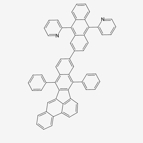 c1ccc(-c2c3c(c(-c4ccccc4)c4cc(-c5ccc6c(-c7ccccn7)c7ccccc7c(-c7ccccn7)c6c5)ccc24)-c2cccc4c2c-3cc2ccccc24)cc1